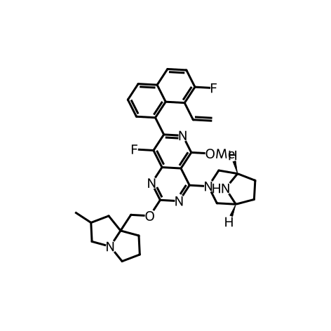 C=Cc1c(F)ccc2cccc(-c3nc(OC)c4c(N5C[C@H]6CC[C@@H](C5)N6)nc(OCC56CCCN5CC(C)C6)nc4c3F)c12